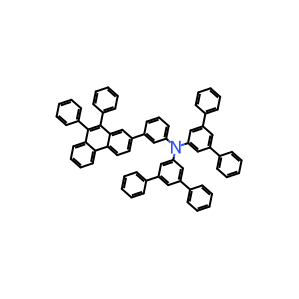 c1ccc(-c2cc(-c3ccccc3)cc(N(c3cccc(-c4ccc5c(c4)c(-c4ccccc4)c(-c4ccccc4)c4ccccc45)c3)c3cc(-c4ccccc4)cc(-c4ccccc4)c3)c2)cc1